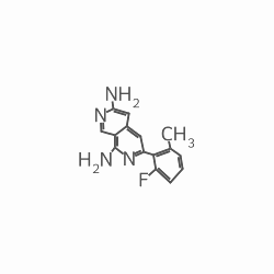 Cc1cccc(F)c1-c1cc2cc(N)ncc2c(N)n1